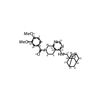 COc1ccc(C(=O)N2CCc3c(ncnc3NCC34CC5CC(CC(C5)C3)C4)C2)cc1OC